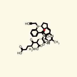 C#CCN(c1ccccc1C(=O)N(C)[C@@H](CC(C(=O)O)C(=O)[C@@H](N)CCC(=O)O)C(=O)O)[C@@H]1CCc2cc3nc(C)[nH]c(=O)c3cc21